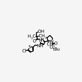 CC(C)(C)OC(=O)N1CCCC1(C)c1cc(NCc2ccc(Cl)s2)n(C(=O)C(C)(C)CO)n1